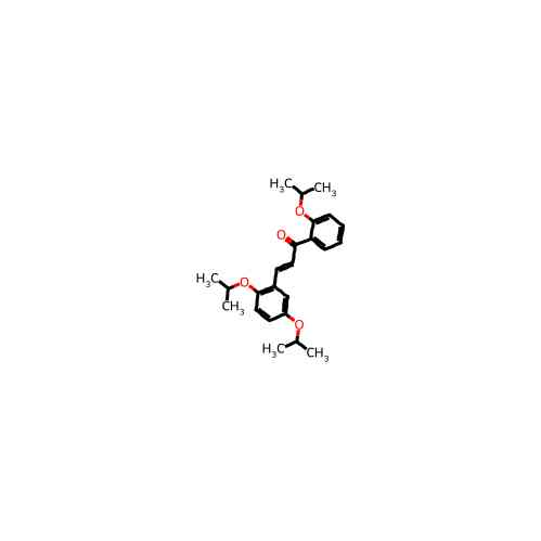 CC(C)Oc1ccc(OC(C)C)c(/C=C/C(=O)c2ccccc2OC(C)C)c1